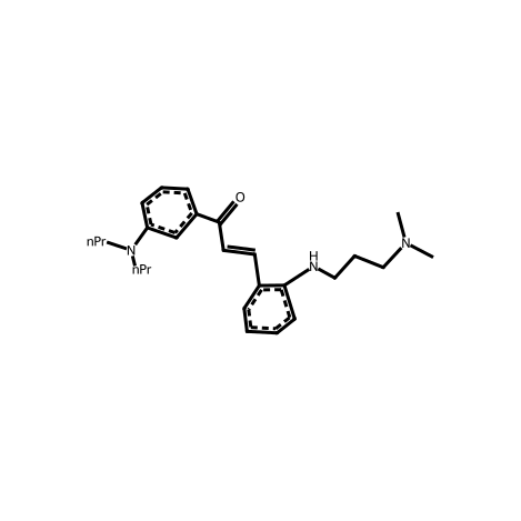 CCCN(CCC)c1cccc(C(=O)C=Cc2ccccc2NCCCN(C)C)c1